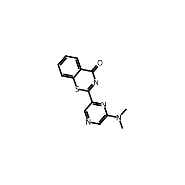 CN(C)c1cncc(-c2nc(=O)c3ccccc3s2)n1